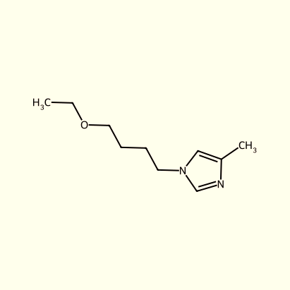 CCOCCCCn1cnc(C)c1